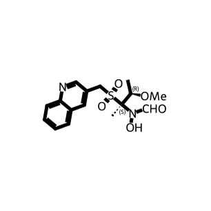 CO[C@H](C)[C@@](C)(N(O)C=O)S(=O)(=O)Cc1cnc2ccccc2c1